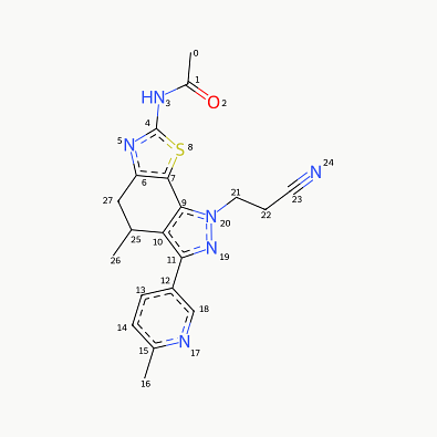 CC(=O)Nc1nc2c(s1)-c1c(c(-c3ccc(C)nc3)nn1CCC#N)C(C)C2